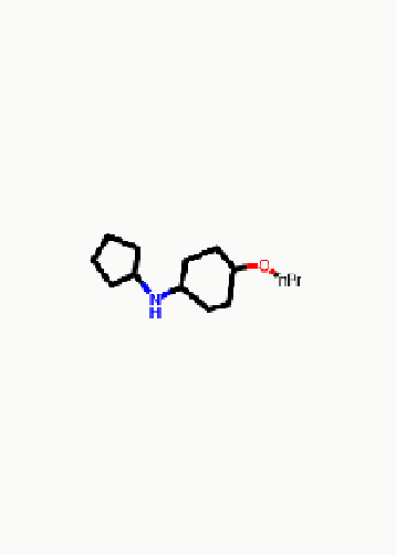 CCCOC1CCC(NC2CCCC2)CC1